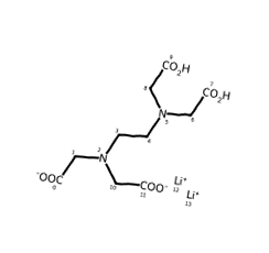 O=C([O-])CN(CCN(CC(=O)O)CC(=O)O)CC(=O)[O-].[Li+].[Li+]